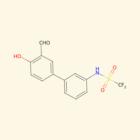 O=Cc1cc(-c2cccc(NS(=O)(=O)C(F)(F)F)c2)ccc1O